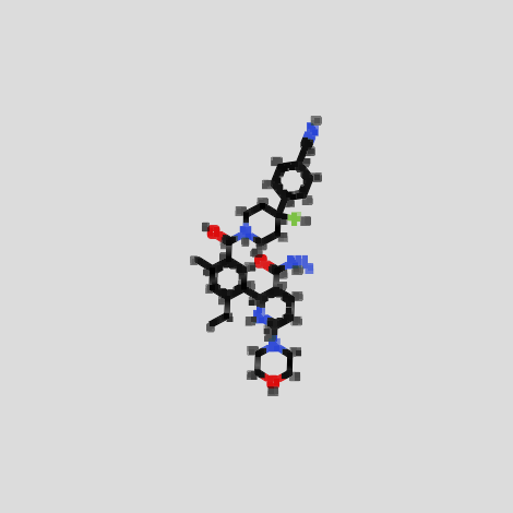 CCc1cc(C)c(C(=O)N2CCC(F)(c3ccc(C#N)cc3)CC2)cc1-c1nc(N2CCOCC2)ccc1C(N)=O